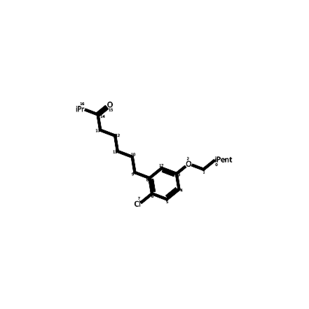 CCCC(C)COc1ccc(Cl)c(CCCCCC(=O)C(C)C)c1